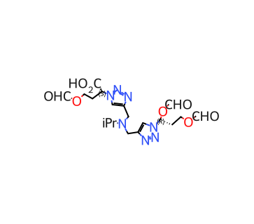 CC(C)N(Cc1cn([C@@H](CCOC=O)OC=O)nn1)Cc1cn([C@@H](CCOC=O)C(=O)O)nn1